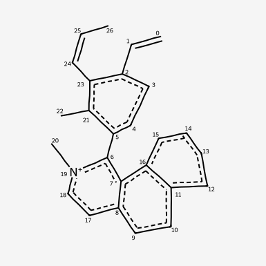 C=Cc1ccc(-c2c3c(ccc4ccccc43)cc[n+]2C)c(C)c1/C=C\C